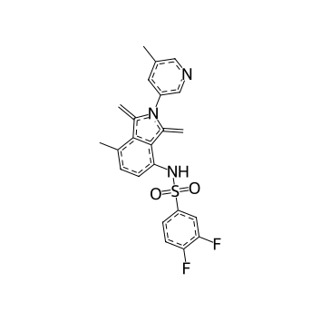 C=c1c2c(C)ccc(NS(=O)(=O)c3ccc(F)c(F)c3)c2c(=C)n1-c1cncc(C)c1